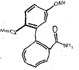 COc1ccc(OC)c(-c2ccc[c]c2C(N)=O)c1